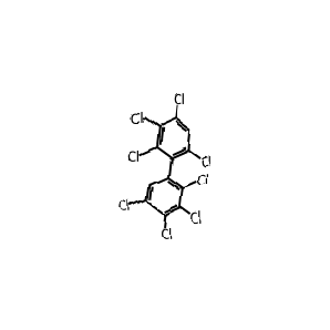 Clc1cc(-c2c(Cl)cc(Cl)c(Cl)c2Cl)c(Cl)c(Cl)c1Cl